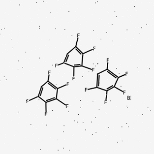 Fc1cc(F)c(F)c(F)c1F.Fc1cc(F)c(F)c(F)c1F.Fc1cc(F)c(F)c(F)c1F.[B]